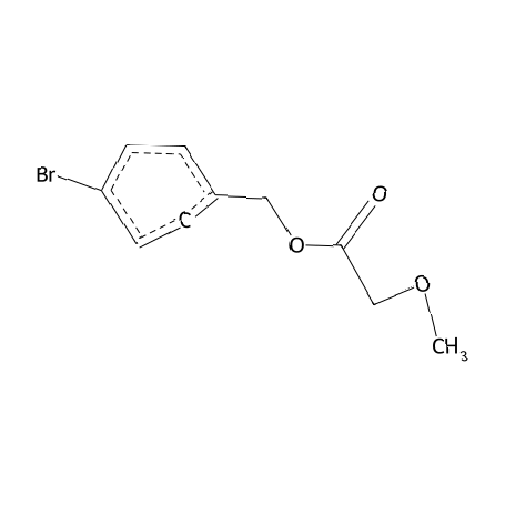 COCC(=O)OCc1ccc(Br)cc1